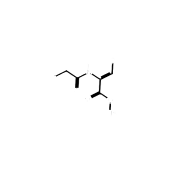 CCC=C(NC(=O)CCl)C(=O)OC(C)C